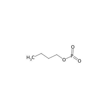 CCCCOP(=O)=O